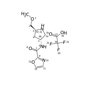 COC[C@@H]1C[C@@H](NC(=O)c2ncco2)CN1.O=C(O)C(F)(F)F